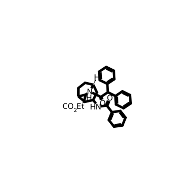 CCOC(=O)[C@@H]1C2CC[C@@H](CC(NC(=O)c3ccccc3)C2)N1C(=O)C(c1ccccc1)c1ccccc1